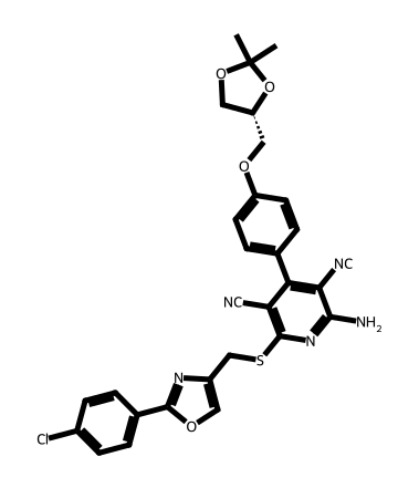 [C-]#[N+]c1c(N)nc(SCc2coc(-c3ccc(Cl)cc3)n2)c(C#N)c1-c1ccc(OC[C@@H]2COC(C)(C)O2)cc1